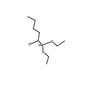 CCCCC(Cl)[SiH](OCC)OCC